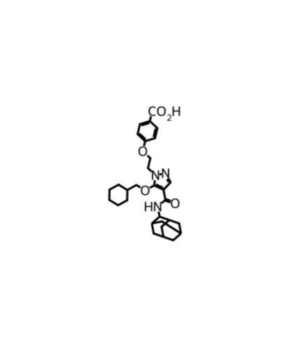 O=C(O)c1ccc(OCCn2ncc(C(=O)NC3C4CC5CC(C4)CC3C5)c2OCC2CCCCC2)cc1